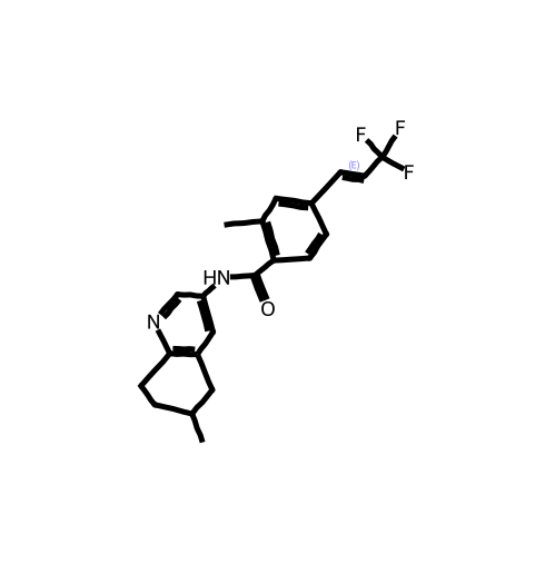 Cc1cc(/C=C/C(F)(F)F)ccc1C(=O)Nc1cnc2c(c1)CC(C)CC2